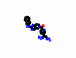 N/C=C(\N)c1ccc(C(=O)N2CCc3nc(NC4Cc5ccccc5C4)ncc3C2)nc1